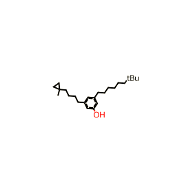 CC(C)(C)CCCCCCc1cc(O)cc(CCCCC2(C)CC2)c1